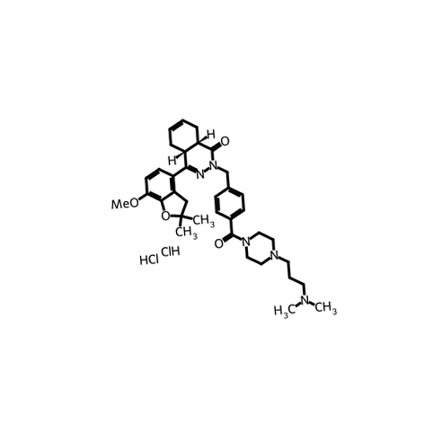 COc1ccc(C2=NN(Cc3ccc(C(=O)N4CCN(CCCN(C)C)CC4)cc3)C(=O)[C@H]3CC=CC[C@@H]23)c2c1OC(C)(C)C2.Cl.Cl